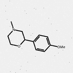 COc1ccc(C2CN(C)CCO2)cc1